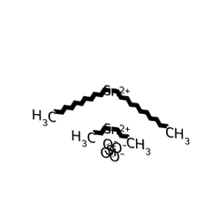 CCCCCCCCCCC[CH2][Sn+2][CH2]CCCCCCCCCCC.CCC[CH2][Sn+2][CH2]CCC.[O-][Si]([O-])([O-])[O-]